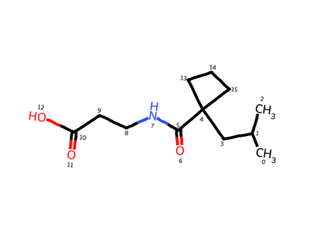 CC(C)CC1(C(=O)NCCC(=O)O)CCC1